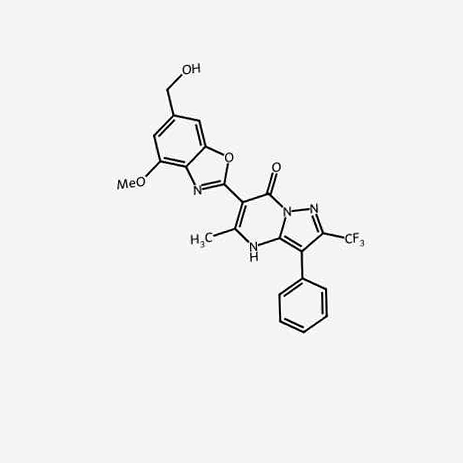 COc1cc(CO)cc2oc(-c3c(C)[nH]c4c(-c5ccccc5)c(C(F)(F)F)nn4c3=O)nc12